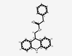 O=C(Cc1ccccc1)OCC1c2ccccc2Oc2ccccc21